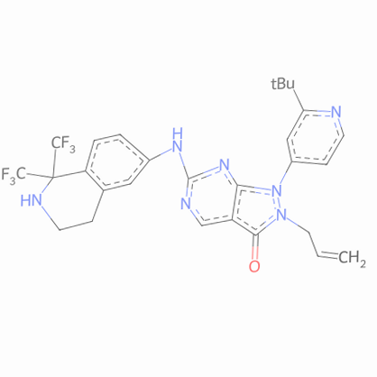 C=CCn1c(=O)c2cnc(Nc3ccc4c(c3)CCNC4(C(F)(F)F)C(F)(F)F)nc2n1-c1ccnc(C(C)(C)C)c1